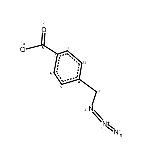 [N-]=[N+]=NCc1ccc(C(=O)Cl)cc1